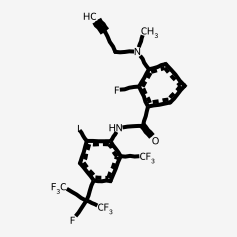 C#CCN(C)c1cccc(C(=O)Nc2c(I)cc(C(F)(C(F)(F)F)C(F)(F)F)cc2C(F)(F)F)c1F